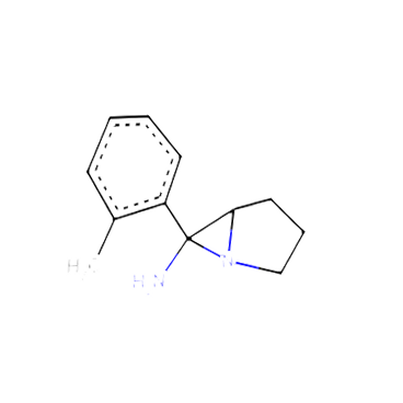 Cc1ccccc1C1(N)C2CCCN21